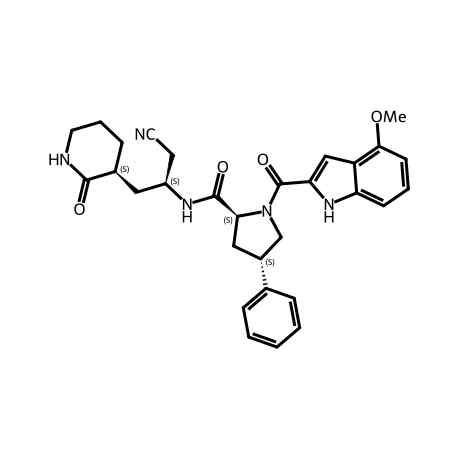 COc1cccc2[nH]c(C(=O)N3C[C@H](c4ccccc4)C[C@H]3C(=O)N[C@H](CC#N)C[C@@H]3CCCNC3=O)cc12